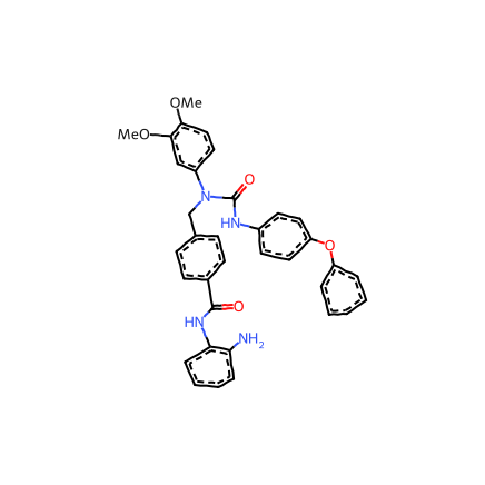 COc1ccc(N(Cc2ccc(C(=O)Nc3ccccc3N)cc2)C(=O)Nc2ccc(Oc3ccccc3)cc2)cc1OC